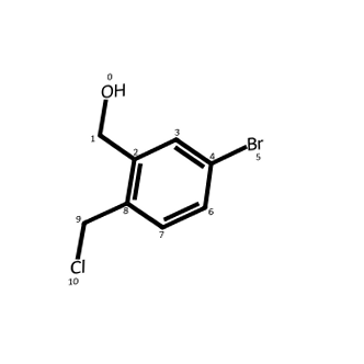 OCc1cc(Br)ccc1CCl